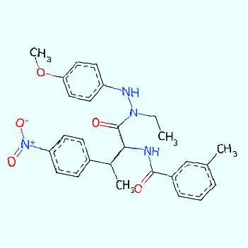 CCN(Nc1ccc(OC)cc1)C(=O)C(NC(=O)c1cccc(C)c1)C(C)c1ccc([N+](=O)[O-])cc1